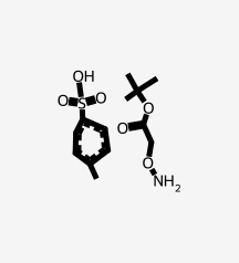 CC(C)(C)OC(=O)CON.Cc1ccc(S(=O)(=O)O)cc1